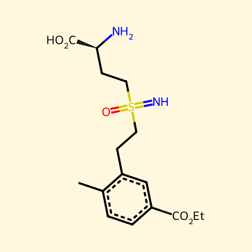 CCOC(=O)c1ccc(C)c(CCS(=N)(=O)CC[C@H](N)C(=O)O)c1